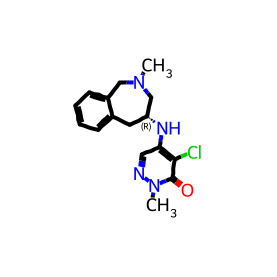 CN1Cc2ccccc2C[C@@H](Nc2cnn(C)c(=O)c2Cl)C1